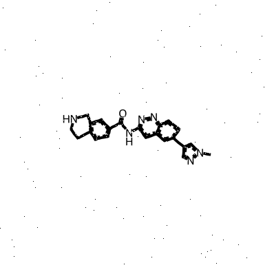 Cn1cc(-c2ccc3nnc(NC(=O)c4ccc5c(c4)CNCC5)cc3c2)cn1